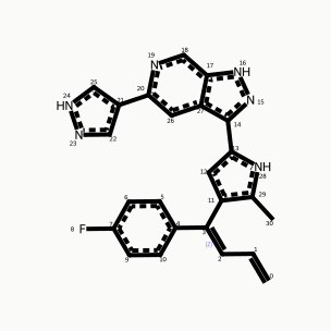 C=C/C=C(/c1ccc(F)cc1)c1cc(-c2n[nH]c3cnc(-c4cn[nH]c4)cc23)[nH]c1C